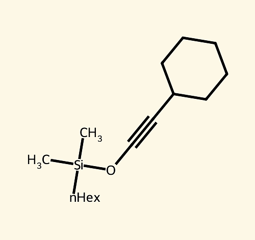 CCCCCC[Si](C)(C)OC#CC1CCCCC1